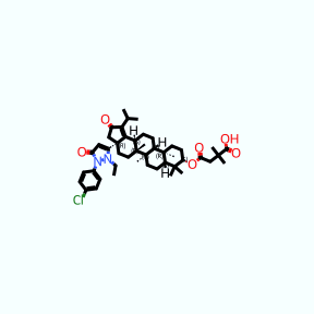 CCn1c([C@@]23CC[C@]4(C)[C@H](CC[C@@H]5[C@@]6(C)CC[C@H](OC(=O)CC(C)(C)C(=O)O)C(C)(C)[C@@H]6CC[C@]54C)C2=C(C(C)C)C(=O)C3)cc(=O)n1-c1ccc(Cl)cc1